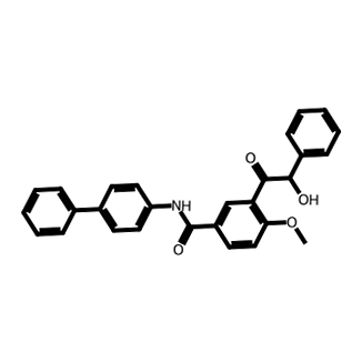 COc1ccc(C(=O)Nc2ccc(-c3ccccc3)cc2)cc1C(=O)C(O)c1ccccc1